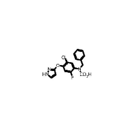 O=C(O)N(Cc1ccccc1)c1cc(Cl)c(Oc2cc[nH]n2)cc1F